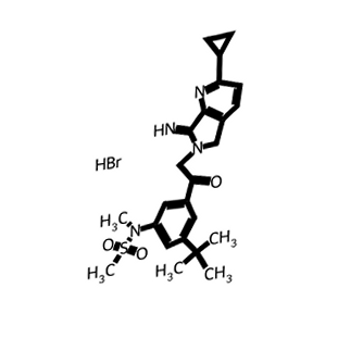 Br.CN(c1cc(C(=O)CN2Cc3ccc(C4CC4)nc3C2=N)cc(C(C)(C)C)c1)S(C)(=O)=O